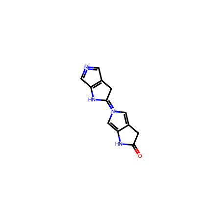 O=C1CC2=C/[N+](=C3\CC4=C(C=[N+]=C4)N3)C=C2N1